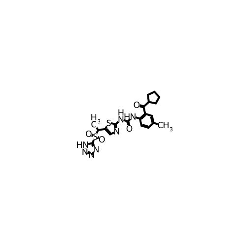 Cc1ccc(NC(=O)Nc2ncc(C(C)S(=O)(=O)c3nnn[nH]3)s2)c(C(=O)C2CCCC2)c1